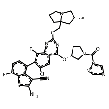 N#Cc1c(N)sc2c(F)ccc(-c3c(Cl)cc4c(O[C@@H]5CCN(C(=O)n6cncn6)C5)nc(OCC56CCCN5C[C@H](F)C6)nc4c3F)c12